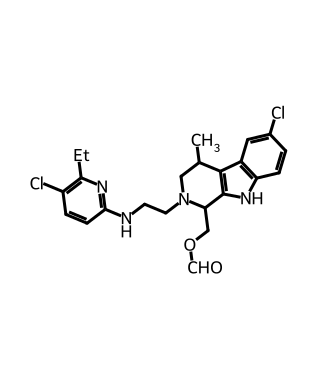 CCc1nc(NCCN2CC(C)c3c([nH]c4ccc(Cl)cc34)C2COC=O)ccc1Cl